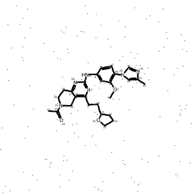 COc1cc(Nc2nc(CCC3CCCO3)c3c(n2)CCN(C(C)=O)C3)ccc1-n1cnc(C)c1